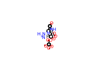 COC(=O)[C@H]1[C@H]2C[C@@H]3c4[nH]c5cc(OC)ccc5c4CCN3C[C@H]2C[C@@H](OC(=O)c2cc(OC)c(OC)c(OC)c2)[C@@H]1OC.N#CN